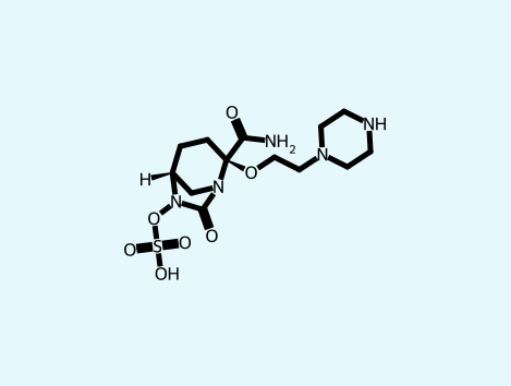 NC(=O)[C@@]1(OCCN2CCNCC2)CC[C@@H]2CN1C(=O)N2OS(=O)(=O)O